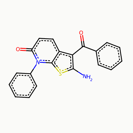 Nc1sc2c(ccc(=O)n2-c2ccccc2)c1C(=O)c1ccccc1